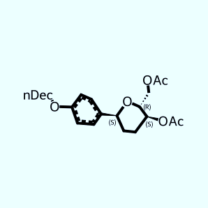 CCCCCCCCCCOc1ccc([C@@H]2CC[C@H](OC(C)=O)[C@@H](COC(C)=O)O2)cc1